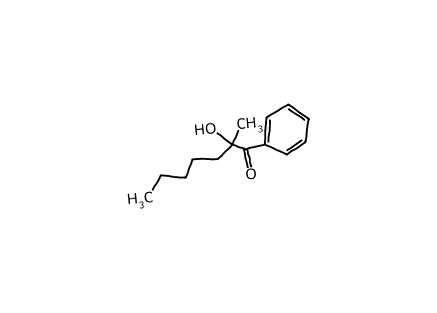 CCCCCC(C)(O)C(=O)c1ccccc1